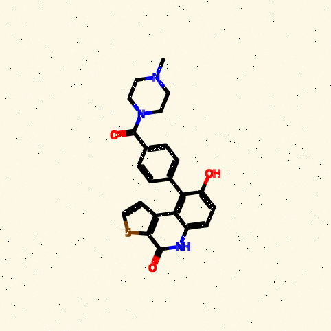 CN1CCN(C(=O)c2ccc(-c3c(O)ccc4[nH]c(=O)c5sccc5c34)cc2)CC1